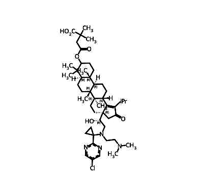 CC(C)C1=C2[C@H]3CC[C@@H]4[C@@]5(C)CCC(OC(=O)CC(C)(C)C(=O)O)C(C)(C)[C@@H]5CC[C@@]4(C)[C@]3(C)CC[C@@]2([C@@H](O)CN(CCN(C)C)C2(c3ncc(Cl)cn3)CC2)CC1=O